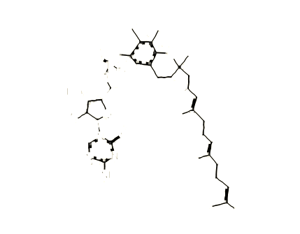 CC(C)=CCC/C(C)=C/CC/C(C)=C/CCC1(C)CCc2cc(OP(=O)(O)OC[C@H]3O[C@@H](n4cnc(N)nc4=O)C(O)[C@@H]3O)c(C)c(C)c2O1